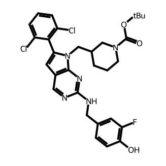 CC(C)(C)OC(=O)N1CCCC(Cn2c(-c3c(Cl)cccc3Cl)cc3cnc(NCc4ccc(O)c(F)c4)nc32)C1